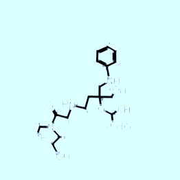 CC(C=O)OC(CO)(CCNCC(=O)N(CO)CCO)CNc1ccccc1